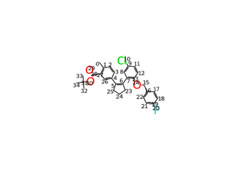 Cc1ccc(C2=C(c3cc(Cl)ccc3OCc3ccc(F)cc3)CCC2)cc1C(=O)OC(C)(C)C